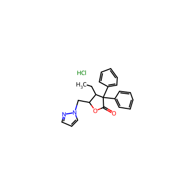 CCC1C(Cn2cccn2)OC(=O)C1(c1ccccc1)c1ccccc1.Cl